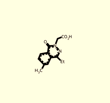 CCc1nn(CC(=O)O)c(=O)c2ccc(C)cc12